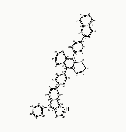 C1=Cc2c(c(-c3ccc(-c4ccc5ccccc5c4)cc3)c3ccccc3c2-c2ccc(-c3ccc4c(c3)c3[nH]ccc3n4-c3ccccc3)cc2)CC1